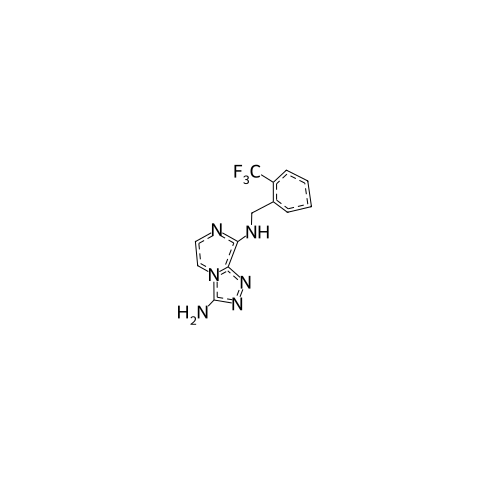 Nc1nnc2c(NCc3ccccc3C(F)(F)F)nccn12